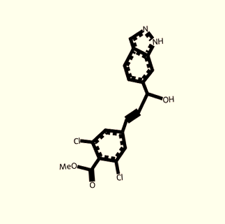 COC(=O)c1c(Cl)cc(C#CC(O)c2ccc3cn[nH]c3c2)cc1Cl